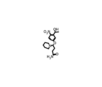 CC(O)c1cc(OC(CCC(N)=O)N2CCCCC2)ccc1[N+](=O)[O-]